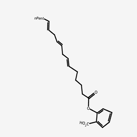 CCCCCC=CCC=CCC=CCCCCC(=O)Oc1ccccc1C(=O)O